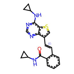 O=C(NC1CC1)c1ccccc1/C=C/c1csc2c(NC3CC3)ncnc12